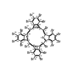 Brc1c(Br)c(Br)c2c(c1Br)-c1nc-2c(Br)c2[nH]c(c(Br)c3nc(c(Br)c4[nH]c(c1Br)c1c(Br)c(Br)c(Br)c(Br)c41)-c1c(Br)c(Br)c(Br)c(Br)c1-3)c1c(Br)c(Br)c(Br)c(Br)c21